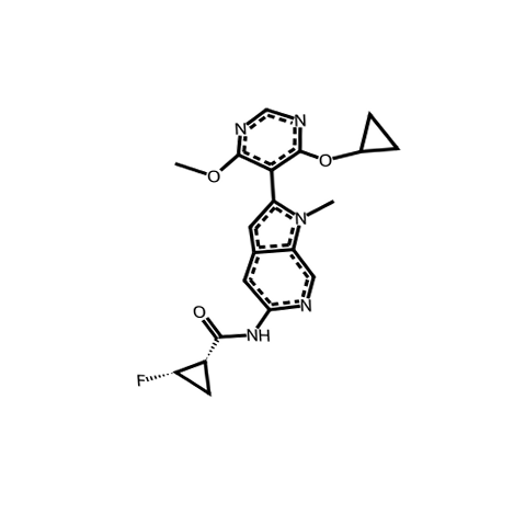 COc1ncnc(OC2CC2)c1-c1cc2cc(NC(=O)[C@@H]3C[C@@H]3F)ncc2n1C